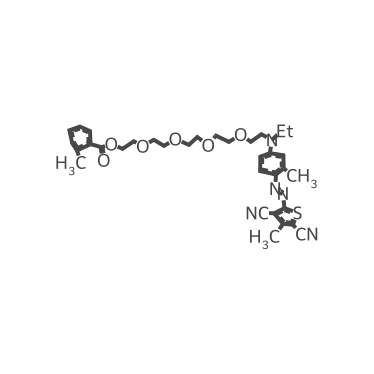 CCN(CCOCCOCCOCCOCCOC(=O)c1ccccc1C)c1ccc(/N=N/c2sc(C#N)c(C)c2C#N)c(C)c1